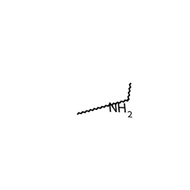 CCCCCCCC/C=C\CCCCCCCC(N)CCCCCCCCCCCCCCCCCC